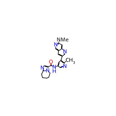 CNc1cc2ncc(-c3cc(NC(=O)c4cnc5n4CCCCC5)cnc3C)cc2cn1